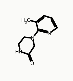 Cc1cccnc1N1CCNC(=O)C1